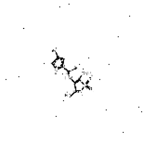 CCOC(=O)C1=C(N[C@H](CC)c2cc(C(C)C)co2)C(O)=NS1(=O)=O